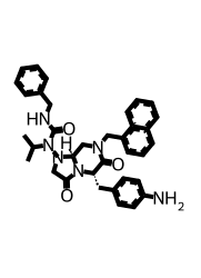 CC(C)N(C(=O)NCc1ccccc1)N1CC(=O)N2[C@@H](Cc3ccc(N)cc3)C(=O)N(Cc3cccc4ccccc34)C[C@@H]21